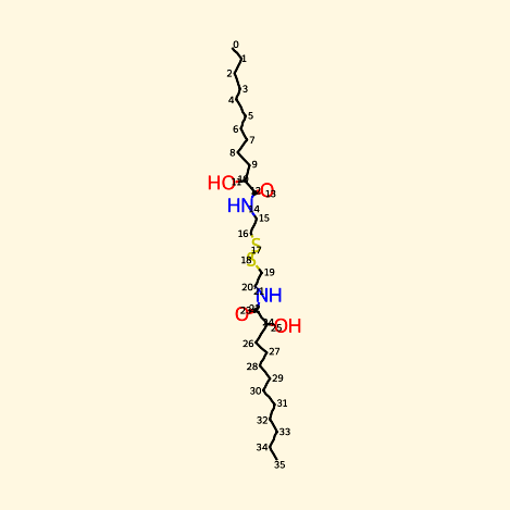 CCCCCCCCCCC(O)C(=O)NCCSSCCNC(=O)C(O)CCCCCCCCCC